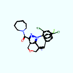 O=C(c1nn(-c2ccc(Cl)cc2Cl)c2c1COC/C2=C/c1ccc(F)cc1)N1CCCCCC1